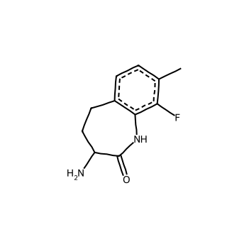 Cc1ccc2c(c1F)NC(=O)C(N)CC2